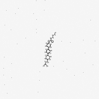 CCCCCC(=O)Oc1ccc(-c2ccc(C3CCC(CCC(C)C)CC3)cc2)cc1